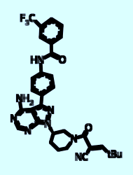 CC(C)(C)/C=C(\C#N)C(=O)N1CCC[C@@H](n2nc(-c3ccc(NC(=O)c4cccc(C(F)(F)F)c4)cc3)c3c(N)ncnc32)C1